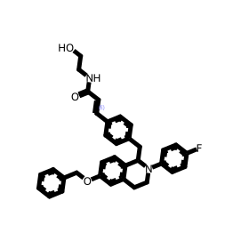 O=C(/C=C/c1ccc(CC2c3ccc(OCc4ccccc4)cc3CCN2c2ccc(F)cc2)cc1)NCCO